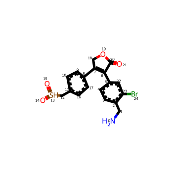 NCc1ccc(C2=C(c3ccc(C[SH](=O)=O)cc3)COC2=O)cc1Br